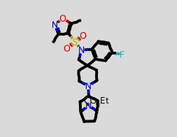 CCOC(=O)N1C2CCC1CC(N1CCC3(CC1)CN(S(=O)(=O)c1c(C)noc1C)c1ccc(F)cc13)C2